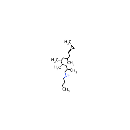 CCCCNCC(C)C[C@H](C)[C@H](C)CC(C)C/C=C1\C[C@H]1C